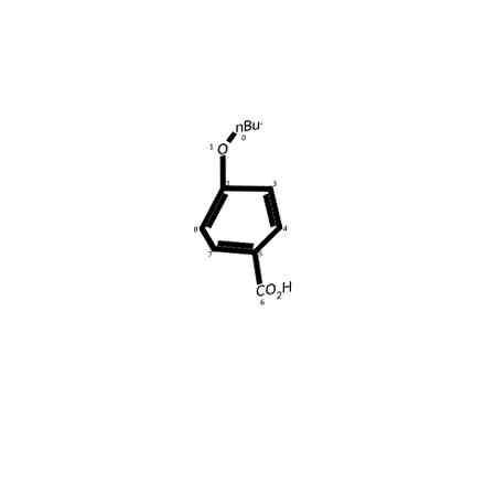 CCC[CH]Oc1ccc(C(=O)O)cc1